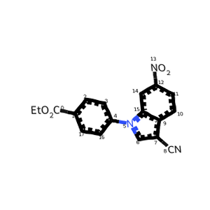 CCOC(=O)c1ccc(-n2cc(C#N)c3ccc([N+](=O)[O-])cc32)cc1